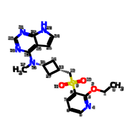 CCOc1ncccc1S(=O)(=O)C[C@H]1C[C@@H](N(C)c2ncnc3[nH]ccc23)C1